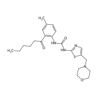 CCCCCC(=O)c1cc(C)ccc1NC(=O)Nc1ncc(CN2CCOCC2)s1